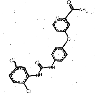 NC(=O)c1cc(Oc2ccc(NC(=O)Nc3cc(Cl)ccc3Cl)cc2)ccn1